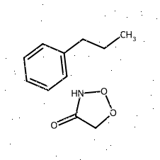 CCCc1ccccc1.O=C1COON1